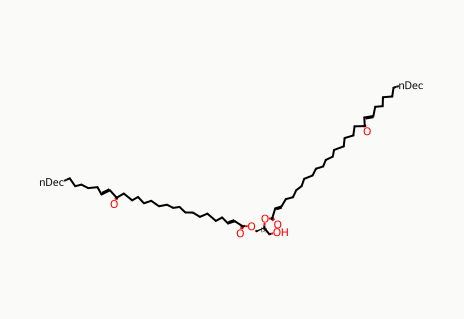 CCCCCCCCCCCCCCCC=CC(=O)CCCCCCCCCCCCCCCC=CC(=O)OC[C@H](CO)OC(=O)C=CCCCCCCCCCCCCCCCC(=O)C=CCCCCCCCCCCCCCCC